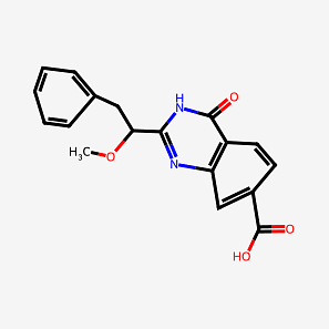 COC(Cc1ccccc1)c1nc2cc(C(=O)O)ccc2c(=O)[nH]1